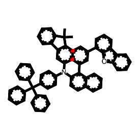 CC1(C)c2ccccc2-c2cc(N(c3ccc(C(c4ccccc4)(c4ccccc4)c4ccccc4)cc3)c3ccc4ccccc4c3-c3cccc(-c4cccc5c4oc4ccccc45)c3)ccc21